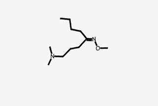 CCCC/C(CCCN(C)C)=N/OC